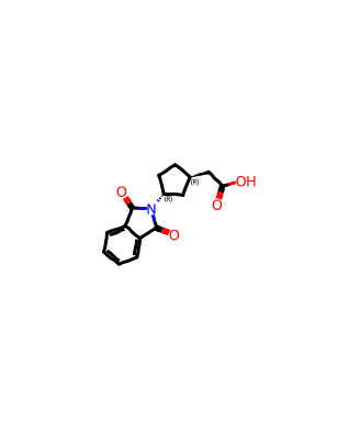 O=C(O)C[C@@H]1CC[C@@H](N2C(=O)c3ccccc3C2=O)C1